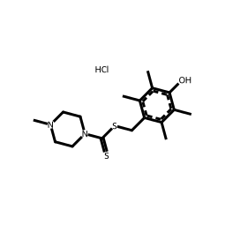 Cc1c(C)c(CSC(=S)N2CCN(C)CC2)c(C)c(C)c1O.Cl